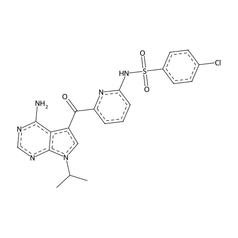 CC(C)n1cc(C(=O)c2cccc(NS(=O)(=O)c3ccc(Cl)cc3)n2)c2c(N)ncnc21